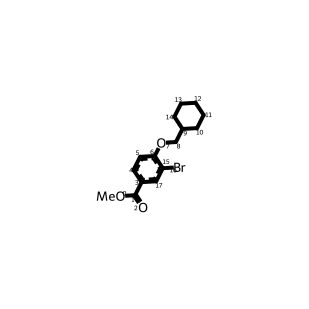 COC(=O)c1ccc(OCC2CCCCC2)c(Br)c1